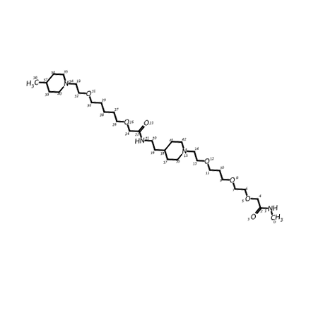 CNC(=O)COCCOCCCOCCN1CCC(CCNC(=O)COCCCCCOCCN2CCC(C)CC2)CC1